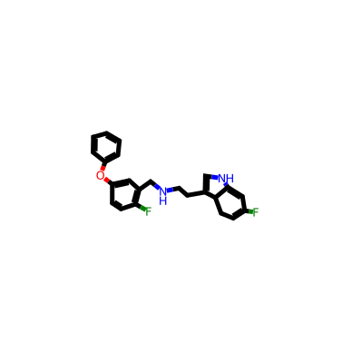 FC1=CCC2C(CCNCc3cc(Oc4ccccc4)ccc3F)=CNC2=C1